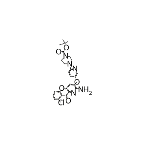 CC(C)(C)OC(=O)N1CCN(c2ccc(Oc3cc4oc5cccc(Cl)c5c(=O)c4nc3N)cn2)CC1